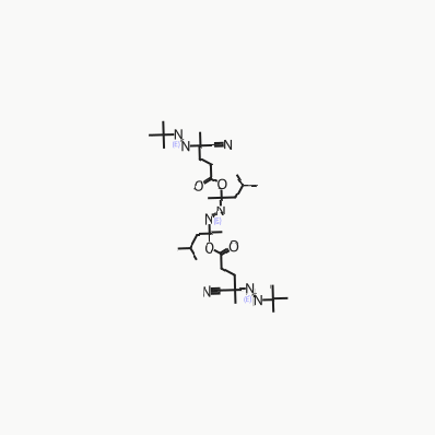 CC(C)CC(C)(/N=N/C(C)(CC(C)C)OC(=O)CCC(C)(C#N)/N=N/C(C)(C)C)OC(=O)CCC(C)(C#N)/N=N/C(C)(C)C